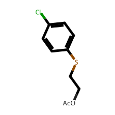 CC(=O)OCCSc1ccc(Cl)cc1